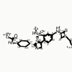 CCNS(=O)(=O)c1cc(N[C@@H]2CN(CC(C)C)C2=O)ccc1-c1cnc([C@H]2CC[C@H](NC(=O)OC(C)C)CC2)s1